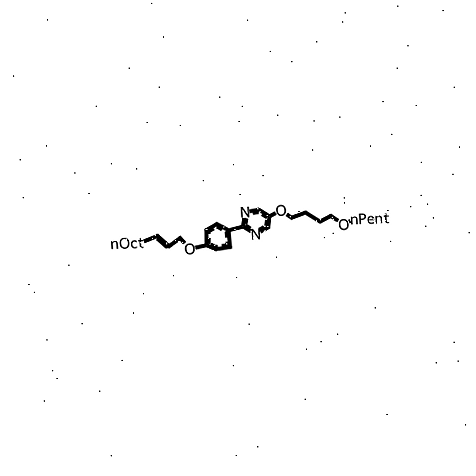 CCCCCCCCC=CCOc1ccc(-c2ncc(OCCCCOCCCCC)cn2)cc1